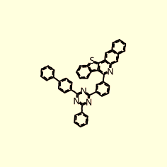 c1ccc(-c2ccc(-c3nc(-c4ccccc4)nc(-c4cccc(-c5nc6cc7ccccc7cc6c6sc7ccccc7c56)c4)n3)cc2)cc1